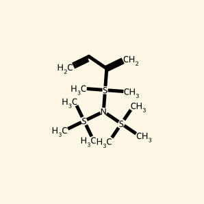 C=CC(=C)S(C)(C)N(S(C)(C)C)S(C)(C)C